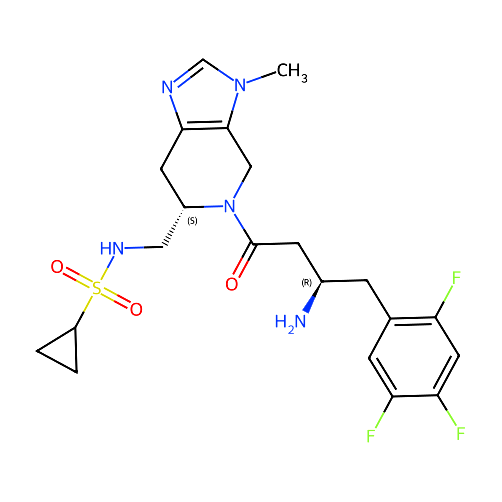 Cn1cnc2c1CN(C(=O)C[C@H](N)Cc1cc(F)c(F)cc1F)[C@H](CNS(=O)(=O)C1CC1)C2